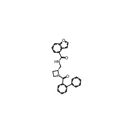 O=C(NC[C@@H]1CCN1C(=O)c1ccccc1-c1ccccc1)c1cccc2occc12